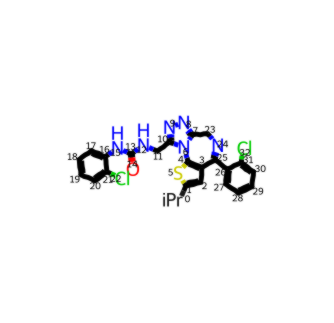 CC(C)c1cc2c(s1)-n1c(nnc1CNC(=O)Nc1ccccc1Cl)CN=C2c1ccccc1Cl